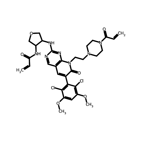 C=CC(=O)NC1COCC1Nc1ncc2cc(-c3c(Cl)c(OC)cc(OC)c3Cl)c(=O)n(CCN3CCN(C(=O)C=C)CC3)c2n1